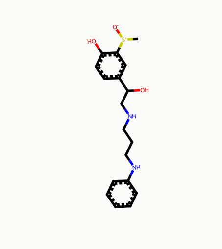 C[S+]([O-])c1cc(C(O)CNCCCNc2ccccc2)ccc1O